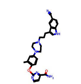 Cc1cc(N2CCN(CCCc3c[nH]c4ccc(C#N)cc34)CC2)ccc1Oc1nccc(C(N)=O)n1